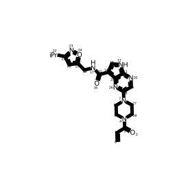 C=CC(=O)N1CCN(c2cnc3[nH]cc(C(=O)NCc4cc(C(C)C)no4)c3n2)CC1